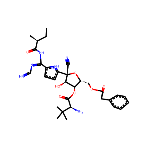 CC[C@H](C)C(=O)N/C(=N/C=N)c1ccc([C@]2(C#N)O[C@H](COC(=O)Cc3ccccc3)[C@@H](OC(=O)[C@@H](N)C(C)(C)C)[C@H]2O)[nH]1